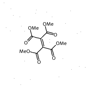 COC(=O)C(C(=O)OC)=C(C(=O)OC)C(=O)OC